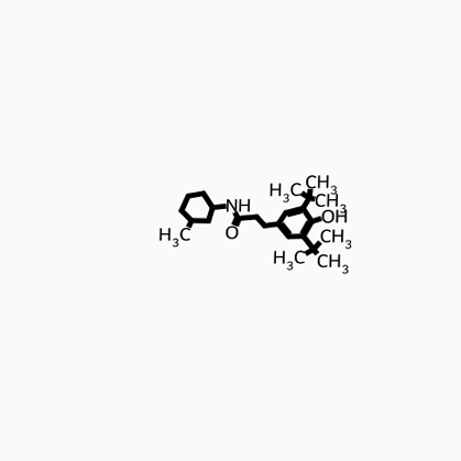 CC1CCCC(NC(=O)CCc2cc(C(C)(C)C)c(O)c(C(C)(C)C)c2)C1